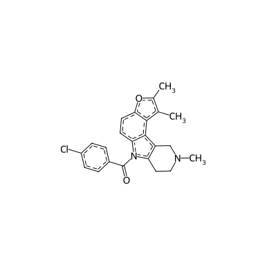 Cc1oc2ccc3c(c4c(n3C(=O)c3ccc(Cl)cc3)CCN(C)C4)c2c1C